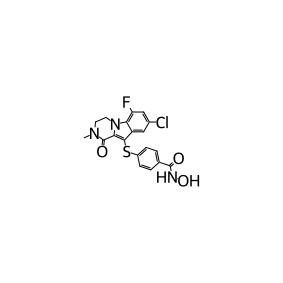 CN1CCn2c(c(Sc3ccc(C(=O)NO)cc3)c3cc(Cl)cc(F)c32)C1=O